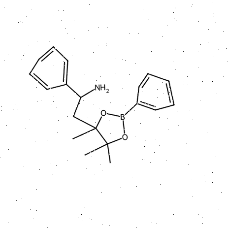 CC1(C)OB(c2ccccc2)OC1(C)CC(N)c1ccccc1